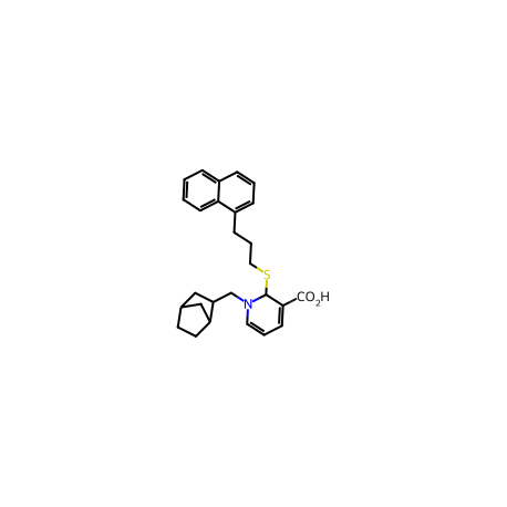 O=C(O)C1=CC=CN(CC2CC3CCC2C3)C1SCCCc1cccc2ccccc12